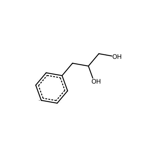 OCC(O)Cc1cc[c]cc1